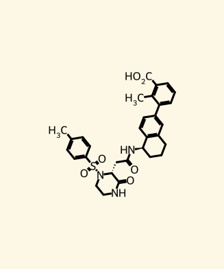 Cc1ccc(S(=O)(=O)N2CCNC(=O)[C@H]2CC(=O)N[C@@H]2CCCc3cc(-c4cccc(C(=O)O)c4C)ccc32)cc1